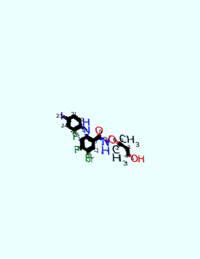 CC(C)(CCO)ONC(=O)c1cc(Br)c(F)cc1Nc1ccc(I)cc1F